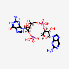 Nc1ncc2ncn([C@@H]3O[C@@H]4COP(=O)(O)O[C@@H]5[C@H](O)[C@@H](COP(=O)(O)O[C@H]4[C@H]3O)O[C@H]5n3cnc4c(=O)[nH]c(N)nc43)c2n1